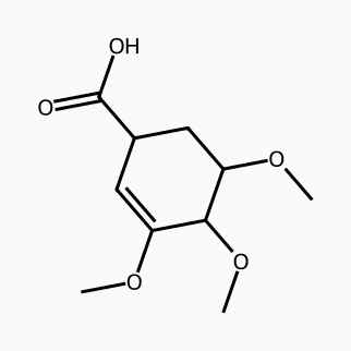 COC1=CC(C(=O)O)CC(OC)C1OC